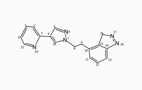 c1ccc(-c2cnn(CCc3cccc4c3CN=N4)c2)nc1